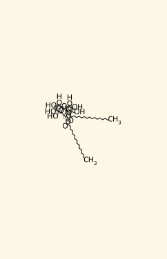 CCCCCCCCCCCCCCCC(=O)OC[C@H](CO[C@H]1O[C@H](CO)[C@@H](O)[C@H](O)[C@H]1O[C@H]1O[C@H](CO)[C@@H](O)[C@H](O)[C@H]1O)OC(=O)CCCCCCCCCCCCCCC